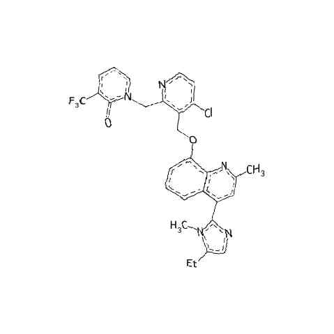 CCc1cnc(-c2cc(C)nc3c(OCc4c(Cl)ccnc4Cn4cccc(C(F)(F)F)c4=O)cccc23)n1C